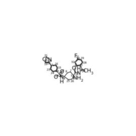 C[C@@H](NC(=O)C1(N)CCC(NS(=O)(=O)c2ccc(-c3cocn3)cc2)CC1)c1ccc(F)cc1